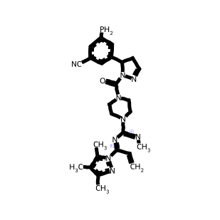 C=C/C(=N\C(=N/C)N1CCN(C(=O)N2N=CCC2c2cc(P)cc(C#N)c2)CC1)n1nc(C)c(C)c1C